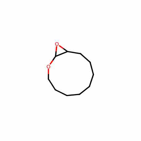 C1CCCCC2OC2OCCC1